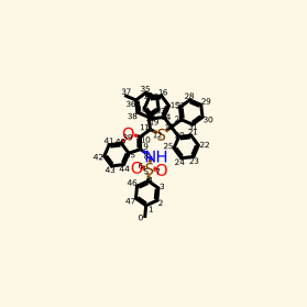 Cc1ccc(S(=O)(=O)Nc2c(C(SC(c3ccccc3)(c3ccccc3)c3ccccc3)c3cccc(C)c3)oc3ccccc23)cc1